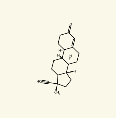 C#C[C@@]1(C)CC[C@@H]2C1CC[C@H]1[C@H]2CCC2=CC(=O)CC[C@@H]21